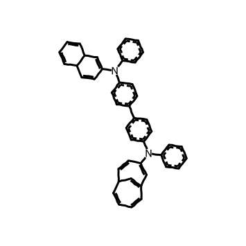 C1=CC2=CC(C=C1)C=CC(N(c1ccccc1)c1ccc(-c3ccc(N(C4=CC5C=CC=CC5C=C4)c4ccccc4)cc3)cc1)=C2